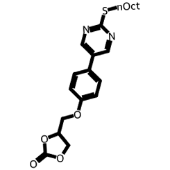 CCCCCCCCSc1ncc(-c2ccc(OCC3COC(=O)O3)cc2)cn1